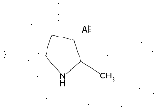 CC1CCCN1.[Al]